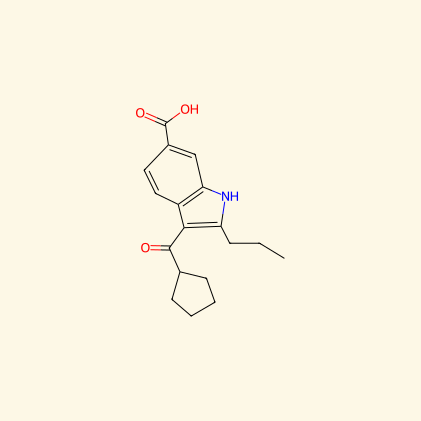 CCCc1[nH]c2cc(C(=O)O)ccc2c1C(=O)C1CCCC1